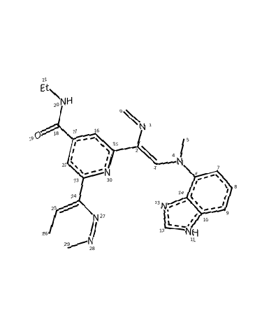 C=N/C(=C\N(C)c1cccc2[nH]cnc12)c1cc(C(=O)NCC)cc(C(=C/C)/N=N\C)n1